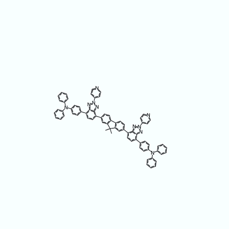 CC1(C)c2cc(-c3ccc(-c4ccc(N(c5ccccc5)c5ccccc5)cc4)c4nn(-c5ccncc5)nc34)ccc2-c2ccc(-c3ccc(-c4ccc(N(c5ccccc5)c5ccccc5)cc4)c4nn(-c5ccncc5)nc34)cc21